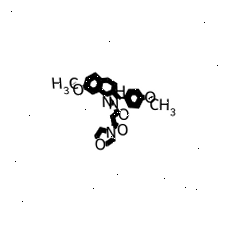 COc1ccc([C@@H]2[C@@H]3CCc4ccc(OC)cc4C3=NN2C(=O)CC(=O)N2CCOCC2)cc1